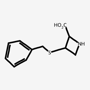 O=C(O)C1NCC1SCc1ccccc1